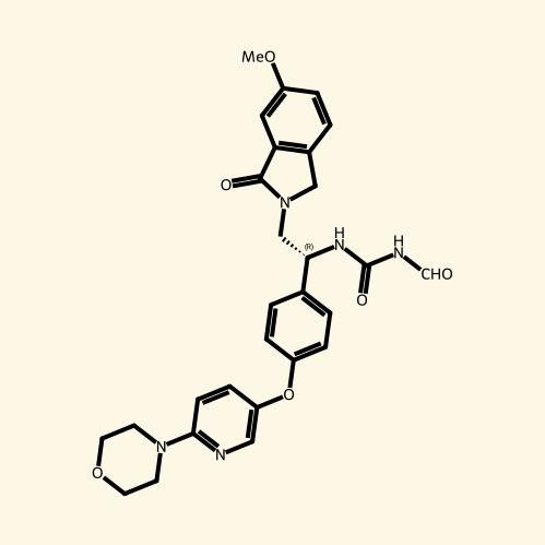 COc1ccc2c(c1)C(=O)N(C[C@H](NC(=O)NC=O)c1ccc(Oc3ccc(N4CCOCC4)nc3)cc1)C2